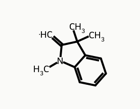 [CH]=C1N(C)c2ccccc2C1(C)C